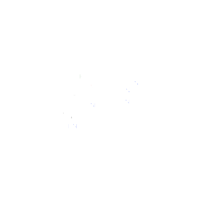 Cl.O=C(NC1C2CCC(CC2)[C@@]12CN2)c1cnn2ncccc12